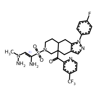 CN(N)/C=C(\N)S(=O)(=O)N1CCC2Cc3c(cnn3-c3ccc(F)cc3)CC2(C(=O)c2cc(C(F)(F)F)ccn2)C1